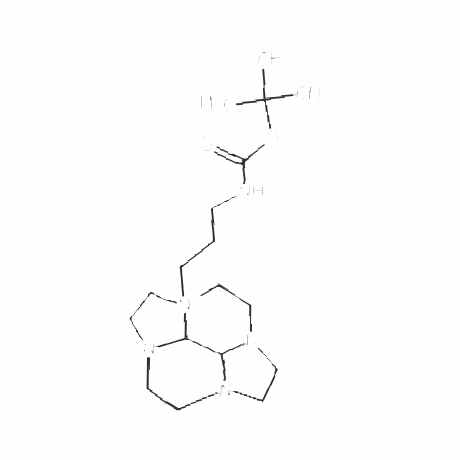 CC(C)(C)OC(=O)NCCC[N+]12CCN3CCN4CCN(CC1)C2C43